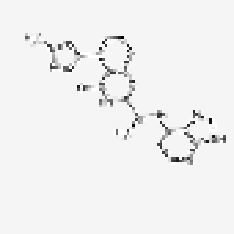 C[C@H](Nc1ncnc2[nH]cnc12)c1cc2cccc(-c3cnn(C)c3)c2c(=O)[nH]1